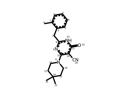 Cc1ccccc1Cc1nc(N2CCC(C)(C)CC2)c(C#N)c(=O)[nH]1